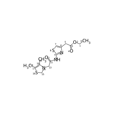 CCOC(=O)Cc1csc(NC(=O)CN2CSC(C)=C2C)n1